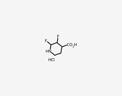 Cl.O=C(O)C1CCNC(F)C1F